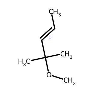 C/C=C/C(C)(C)OC